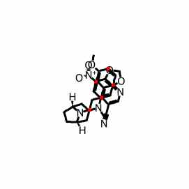 COc1ccc2ncc(C#N)c(CCN3[C@@H]4CC[C@H]3CC(N(C)c3cc5c(c([N+](=O)[O-])c3)OCO5)C4)c2c1